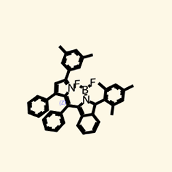 Cc1cc(C)cc(C2=N/C(=C(\C3=C4C=CC=CC4C(c4c(C)cc(C)cc4C)N3B(F)F)c3ccccc3)C(c3ccccc3)=C2)c1